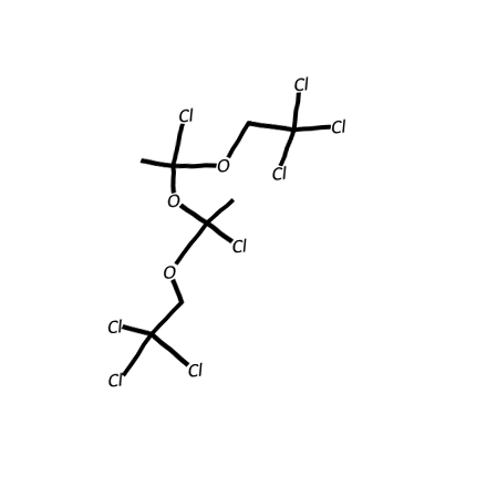 CC(Cl)(OCC(Cl)(Cl)Cl)OC(C)(Cl)OCC(Cl)(Cl)Cl